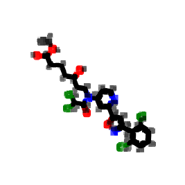 CC(C)(C)OC(=O)CCCC(=O)CCN(C(=O)C(Cl)Cl)c1ccnc(-c2cc(-c3c(Cl)cccc3Cl)no2)c1